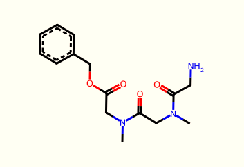 CN(CC(=O)OCc1ccccc1)C(=O)CN(C)C(=O)CN